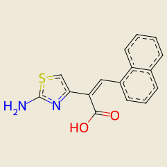 Nc1nc(C(=Cc2cccc3ccccc23)C(=O)O)cs1